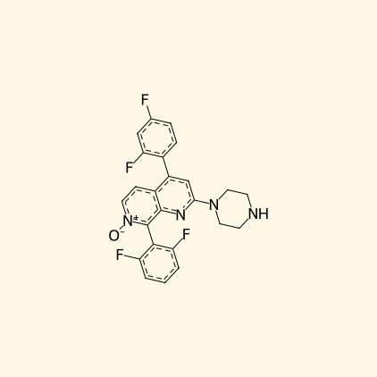 [O-][n+]1ccc2c(-c3ccc(F)cc3F)cc(N3CCNCC3)nc2c1-c1c(F)cccc1F